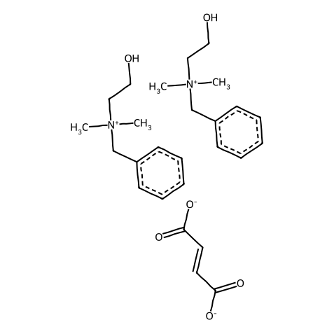 C[N+](C)(CCO)Cc1ccccc1.C[N+](C)(CCO)Cc1ccccc1.O=C([O-])/C=C/C(=O)[O-]